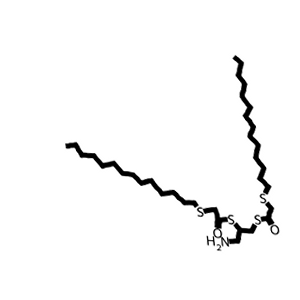 CCCCCCCCCCCCCCSCC(=O)SCC(CN)SC(=O)CSCCCCCCCCCCCCCC